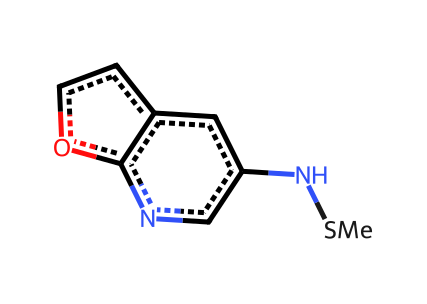 CSNc1cnc2occc2c1